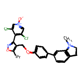 CC(C)c1onc(-c2c(Cl)c[n+]([O-])cc2Cl)c1COc1ccc(-c2ccc3ccn(C)c3c2)cc1